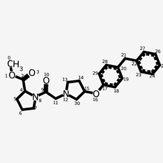 COC(=O)C1CCCN1C(=O)CN1CCC(Oc2ccc(Cc3ccccc3)cc2)C1